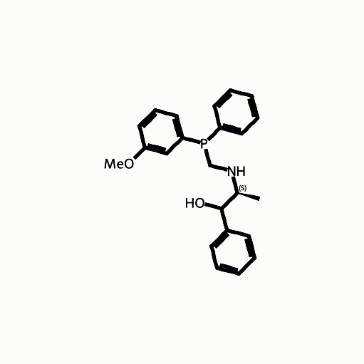 COc1cccc(P(CN[C@@H](C)C(O)c2ccccc2)c2ccccc2)c1